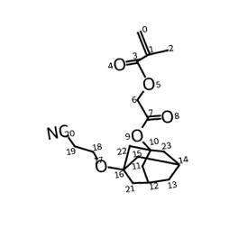 C=C(C)C(=O)OCC(=O)OC12CC3CC(CC(OCCC#N)(C3)C1)C2